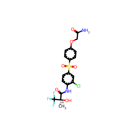 C[C@@](O)(C(=O)Nc1ccc(S(=O)(=O)c2ccc(OCC(N)=O)cc2)cc1Cl)C(F)(F)F